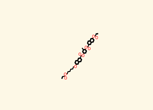 C=CC(=O)OCCCCCCOc1ccc2cc(C(=O)Oc3ccc(OC(=O)c4ccc5cc(OC(=O)C=C)ccc5c4)c(C)c3)ccc2c1